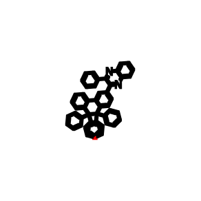 c1ccc(-c2nc3ccccc3nc2-c2ccc3c(c2)-c2ccccc2C(c2ccccc2)(c2ccccc2)C3(c2ccccc2)c2ccccc2)cc1